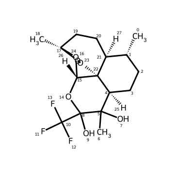 C[C@@H]1CC[C@H]2C(C)(O)C(O)(C(F)(F)F)O[C@@H]3O[C@]4(C)CC[C@@H]1[C@]32OO4